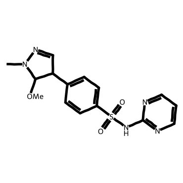 COC1C(c2ccc(S(=O)(=O)Nc3ncccn3)cc2)C=NN1C